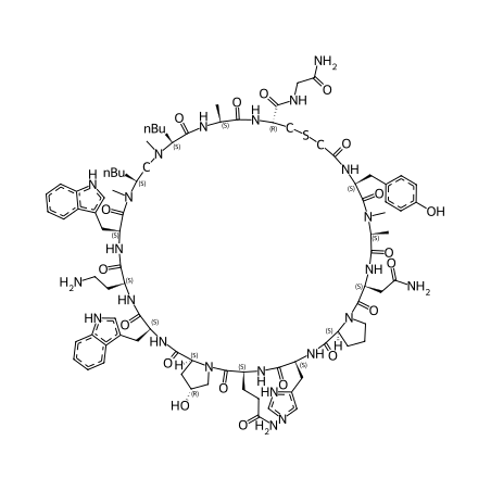 CCCC[C@H]1CN(C)[C@@H](CCCC)C(=O)N[C@@H](C)C(=O)N[C@H](C(=O)NCC(N)=O)CSCC(=O)N[C@@H](Cc2ccc(O)cc2)C(=O)N(C)[C@@H](C)C(=O)N[C@@H](CC(N)=O)C(=O)N2CCC[C@H]2C(=O)N[C@@H](Cc2cnc[nH]2)C(=O)N[C@@H](CCC(N)=O)C(=O)N2C[C@H](O)C[C@H]2C(=O)N[C@@H](Cc2c[nH]c3ccccc23)C(=O)N[C@@H](CCN)C(=O)N[C@@H](Cc2c[nH]c3ccccc23)C(=O)N1C